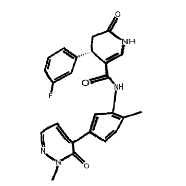 Cc1ccc(-c2ccnn(C)c2=O)cc1NC(=O)C1=CNC(=O)C[C@H]1c1cccc(F)c1